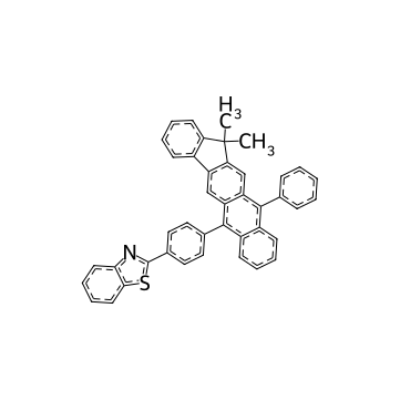 CC1(C)c2ccccc2-c2cc3c(-c4ccc(-c5nc6ccccc6s5)cc4)c4ccccc4c(-c4ccccc4)c3cc21